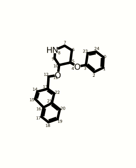 c1ccc(OC2CCNCC2OCc2ccc3ccccc3c2)cc1